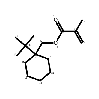 C=C(C)C(=O)OCC1(C(C)(C)C)CCCCC1